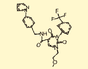 COCCn1cc(C(=O)NCc2ccc(-n3cccn3)cc2)c(=O)n(-c2cccc(C(F)(F)F)c2)c1=O